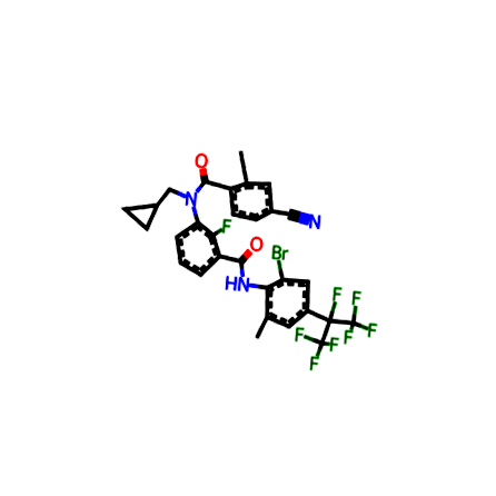 Cc1cc(C#N)ccc1C(=O)N(CC1CC1)c1cccc(C(=O)Nc2c(C)cc(C(F)(C(F)(F)F)C(F)(F)F)cc2Br)c1F